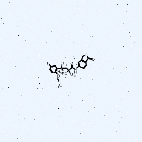 CCOCOc1ccc(F)cc1C(C)(C)CC(O)(C(=O)Nc1ccc2c(c1)COC2=O)C(F)(F)F